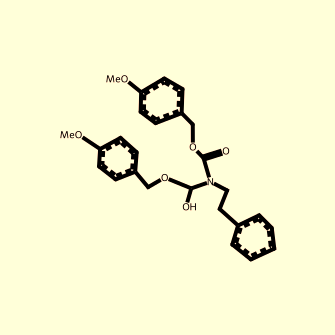 COc1ccc(COC(=O)N(CCc2ccccc2)C(O)OCc2ccc(OC)cc2)cc1